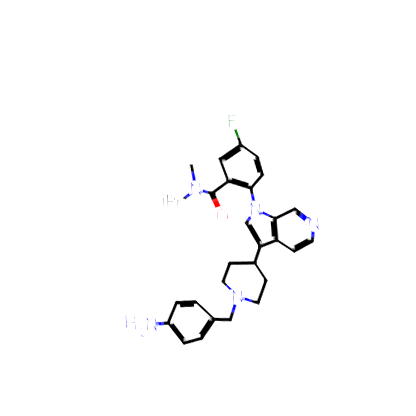 CC(C)N(C)C(=O)c1cc(F)ccc1-n1cc(C2CCN(Cc3ccc(N)cc3)CC2)c2ccncc21